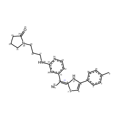 Cc1ccc(C2=CS/C(=C(\C#N)c3ccnc(NCCCN4CCCC4=O)n3)N2)cc1